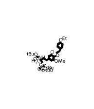 CCOc1ccc(CCOc2c(Cl)cc(CC[C@](C)(COP(=O)(OC(C)(C)C)OC(C)(C)C)NC(=O)OC(C)(C)C)cc2OC)cc1